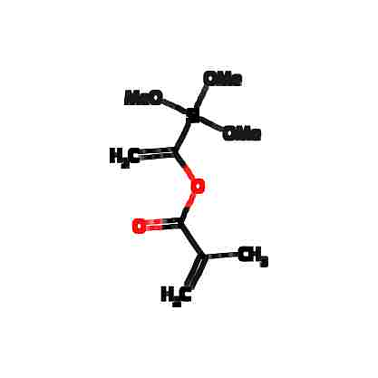 C=C(C)C(=O)OC(=C)[Si](OC)(OC)OC